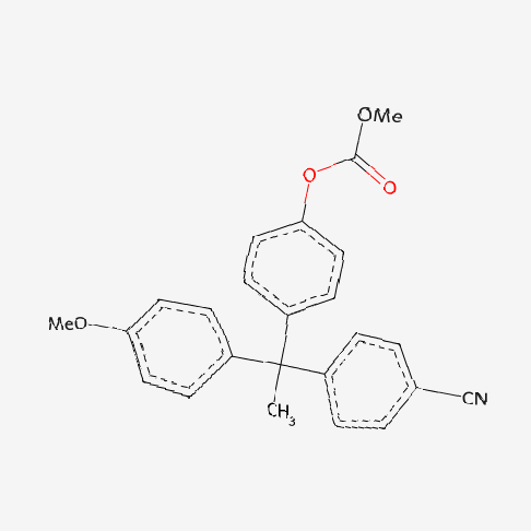 COC(=O)Oc1ccc(C(C)(c2ccc(C#N)cc2)c2ccc(OC)cc2)cc1